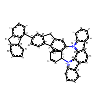 C1=CCC(n2c3ccccc3c3ccc4c5ccccc5n(-c5ccc6c(c5)Cc5cc(-c7cccc8c7-c7ccccc7C8)ccc5-6)c4c32)C=C1